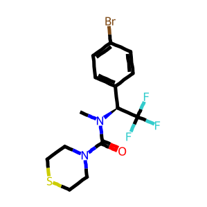 CN(C(=O)N1CCSCC1)[C@@H](c1ccc(Br)cc1)C(F)(F)F